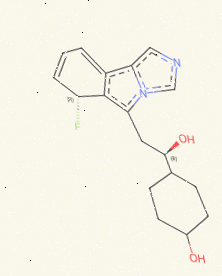 OC1CCC([C@H](O)Cc2c3c(c4cncn24)=CC=C[C@H]3F)CC1